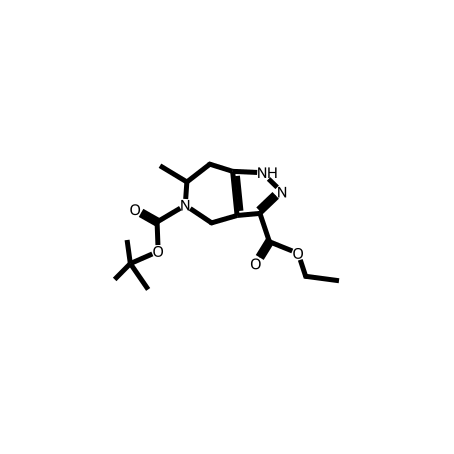 CCOC(=O)c1n[nH]c2c1CN(C(=O)OC(C)(C)C)C(C)C2